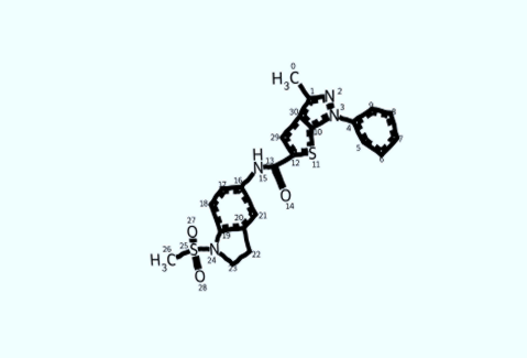 Cc1nn(-c2ccccc2)c2sc(C(=O)Nc3ccc4c(c3)CCN4S(C)(=O)=O)cc12